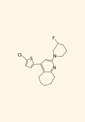 FC1CCCN(c2cc(-c3ccc(Cl)s3)c3c(n2)CCCCC3)C1